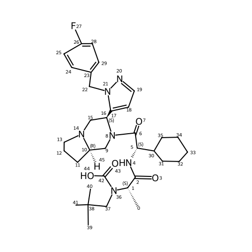 C[C@@H](C(=O)N[C@H](C(=O)N1C[C@H]2CCCN2C[C@H]1c1ccnn1Cc1ccc(F)cc1)C1CCCCC1)N(CC(C)(C)C)C(=O)O